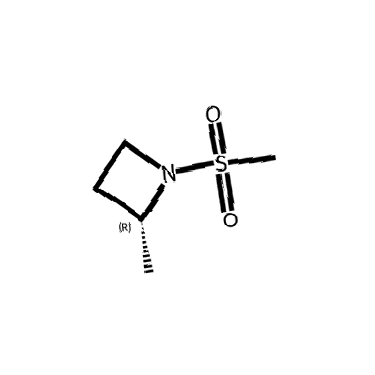 C[C@@H]1CCN1S(C)(=O)=O